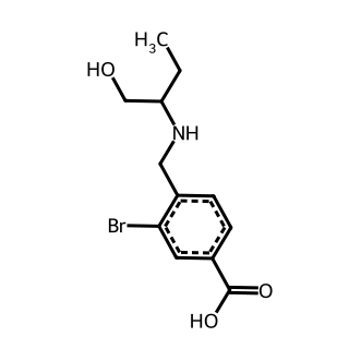 CCC(CO)NCc1ccc(C(=O)O)cc1Br